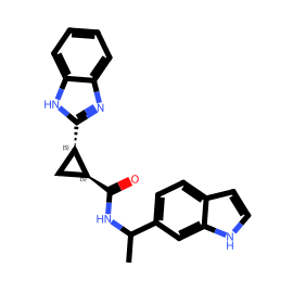 CC(NC(=O)[C@H]1C[C@@H]1c1nc2ccccc2[nH]1)c1ccc2cc[nH]c2c1